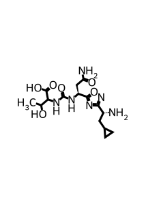 CC(O)C(NC(=O)N[C@@H](CC(N)=O)c1nc([C@H](N)CC2CC2)no1)C(=O)O